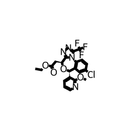 CCOC(=O)C[C@@H]1O[C@@H](c2cccnc2OC)c2cc(Cl)ccc2-n2c1nnc2C(F)(F)F